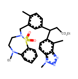 CCOC(=O)CC(c1ccc(C)c(CN2CCN(CC)c3ccccc3S2(=O)=O)c1)c1ccc2c(nnn2C)c1C